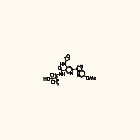 COc1cnn2c(-c3cc(NC4COC4)c(C(=O)NCC(F)C(C)(C)O)cn3)cnc2c1